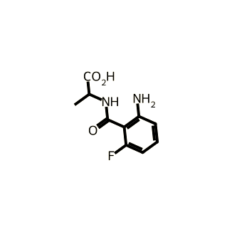 CC(NC(=O)c1c(N)cccc1F)C(=O)O